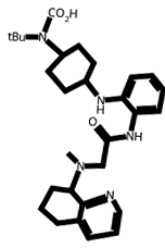 CN(CC(=O)Nc1ccccc1NC1CCC(N(C(=O)O)C(C)(C)C)CC1)C1CCCc2cccnc21